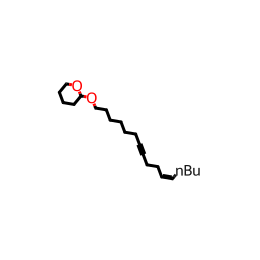 CCCC/C=C\CCC#CCCCCCCOC1CCCCO1